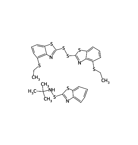 CC(C)(C)NSc1nc2ccccc2s1.CCSc1cccc2sc(SSc3nc4c(SCC)cccc4s3)nc12